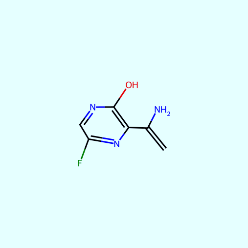 C=C(N)c1nc(F)cnc1O